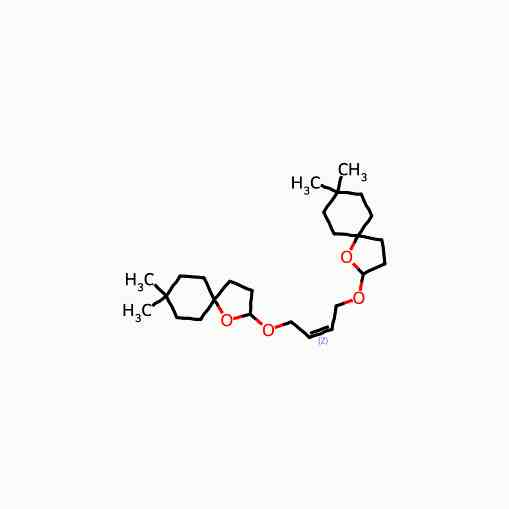 CC1(C)CCC2(CCC(OC/C=C\COC3CCC4(CCC(C)(C)CC4)O3)O2)CC1